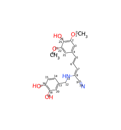 COc1cc(C=CC=C(C#N)NCc2ccc(O)c(O)c2)cc(OC)c1O